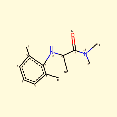 Cc1cccc(C)c1NC(C)C(=O)N(C)C